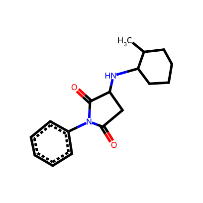 CC1CCCCC1NC1CC(=O)N(c2ccccc2)C1=O